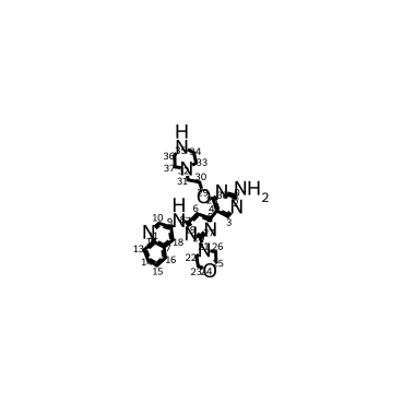 Nc1ncc(-c2cc(Nc3cnc4ccccc4c3)nc(N3CCOCC3)n2)c(OCCN2CCNCC2)n1